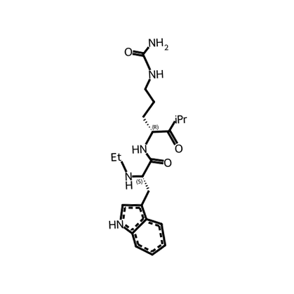 CCN[C@@H](Cc1c[nH]c2ccccc12)C(=O)N[C@H](CCCNC(N)=O)C(=O)C(C)C